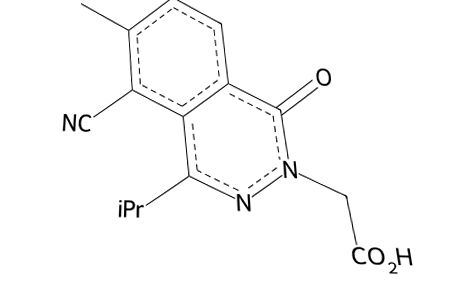 Cc1ccc2c(=O)n(CC(=O)O)nc(C(C)C)c2c1C#N